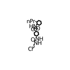 CCCc1ccccc1NS(=O)(=O)c1ccc(NC(=O)NCCCl)cc1